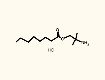 CCCCCCCC(=O)OCC(C)(C)N.Cl